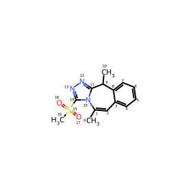 CC1=Cc2ccccc2C(C)c2nnc(S(C)(=O)=O)n21